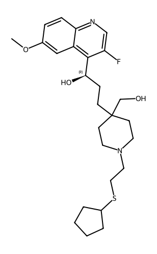 COc1ccc2ncc(F)c([C@H](O)CCC3(CO)CCN(CCSC4CCCC4)CC3)c2c1